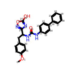 COc1ccc(CC(NC(=O)Nc2ccc(-c3ccccc3)cc2)c2noc(O)n2)cc1